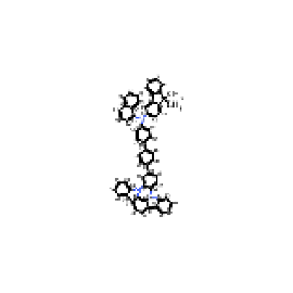 CC1(C)c2ccccc2-c2cc(N(c3ccc(-c4ccc(-c5ccc6c(c5)n5c7ccccc7c7ccc8c9ccccc9n6c8c75)cc4)cc3)c3cccc4ccccc34)ccc21